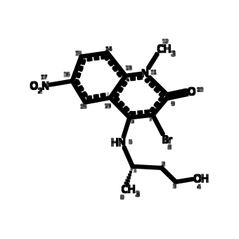 C[C@@H](CCO)Nc1c(Br)c(=O)n(C)c2ccc([N+](=O)[O-])cc12